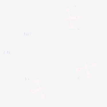 CCOP(=O)(Cc1ccc(C(c2ccc(CP(=O)(OCC)OCC)cc2)(c2ccc(CP(=O)(OCC)OCC)cc2)c2ccc(C(c3ccc[nH]3)c3ccc[nH]3)cc2)cc1)OCC